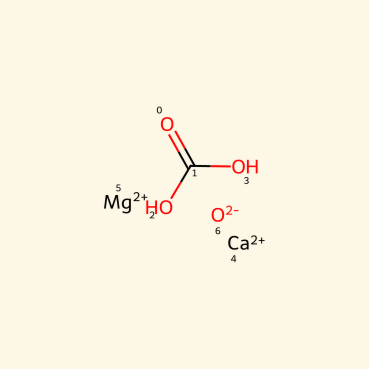 O=C(O)O.[Ca+2].[Mg+2].[O-2]